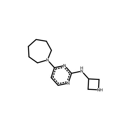 c1cc(N2CCCCCC2)nc(NC2CNC2)n1